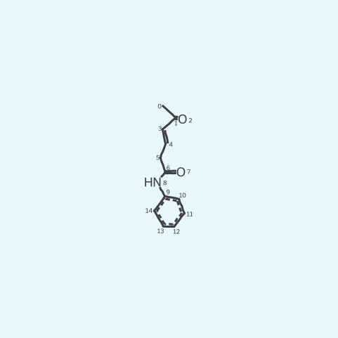 CC(=O)/C=C/CC(=O)Nc1ccccc1